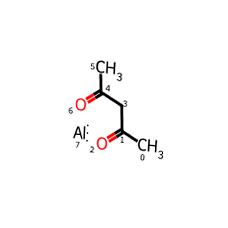 CC(=O)CC(C)=O.[Al]